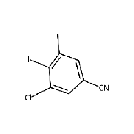 Cc1cc(C#N)cc(Cl)c1I